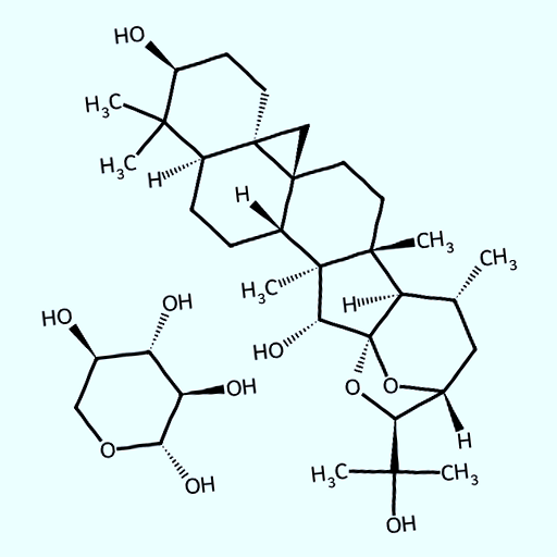 C[C@@H]1C[C@H]2O[C@@]3(O[C@@H]2C(C)(C)O)[C@H](O)[C@@]2(C)[C@@H]4CC[C@H]5C(C)(C)[C@@H](O)CC[C@@]56C[C@@]46CC[C@]2(C)[C@@H]13.O[C@@H]1[C@@H](O)[C@H](O)OC[C@H]1O